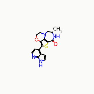 C[C@H]1CN2CCOc3c(-c4ccnc5[nH]ccc45)sc(c32)C(=O)N1